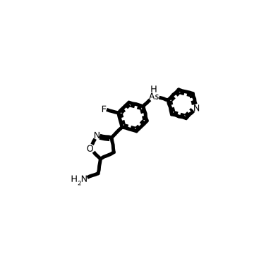 NCC1CC(c2ccc([AsH]c3ccncc3)cc2F)=NO1